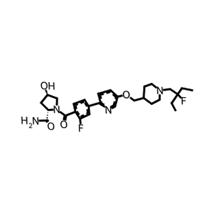 CCC(F)(CC)CN1CCC(COc2ccc(-c3ccc(C(=O)N4C[C@H](O)C[C@H]4C(N)=O)c(F)c3)nc2)CC1